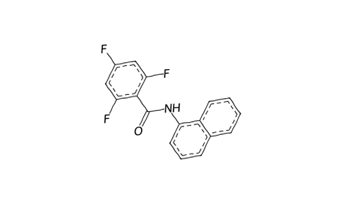 O=C(Nc1cccc2ccccc12)c1c(F)cc(F)cc1F